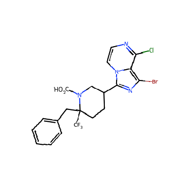 O=C(O)N1CC(c2nc(Br)c3c(Cl)nccn23)CCC1(Cc1ccccc1)C(F)(F)F